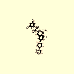 CC1(C)CN(C(=O)Nc2cc(Cl)cc(Cl)c2)Cc2cc(N3CCC(N4CCOCC4)CC3)ccc21